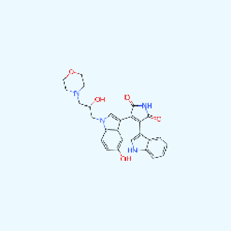 O=C1NC(=O)C(c2cn(CC(O)CN3CCOCC3)c3ccc(O)cc23)=C1c1c[nH]c2ccccc12